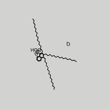 C=O.CCCCCCCCCCCCCCCCc1c(CCCCCCCCCCCCCCCC)c(S(=O)(=O)O)c2ccccc2c1CCCCCCCCCCCCCCCC